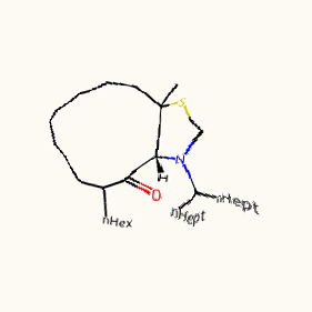 CCCCCCCC(CCCCCCC)N1CSC2(C)CCCCCCC(CCCCCC)C(=O)[C@@H]12